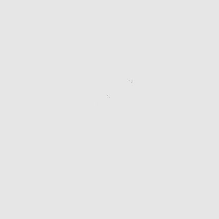 O=C(O)C1NCCN(C(=O)c2ccc(Cl)cc2)C1(I)C(=O)O